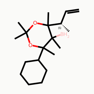 BC1(C)C(C)(C2CCCCC2)OC(C)(C)OC1(C)[C@@H](C)C=C